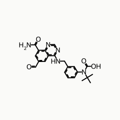 CC(C)(C)N(C(=O)O)c1cccc(CNc2ncnc3c(C(N)=O)cc(C=O)cc23)c1